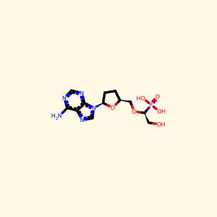 Nc1ncnc2c1ncn2[C@H]1CC[C@@H](CO[C@H](CO)P(=O)(O)O)O1